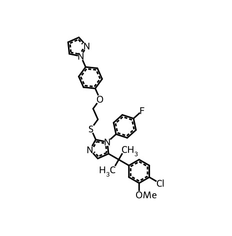 COc1cc(C(C)(C)c2cnc(SCCOc3ccc(-n4cccn4)cc3)n2-c2ccc(F)cc2)ccc1Cl